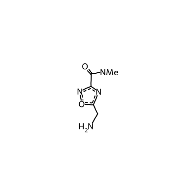 CNC(=O)c1noc(CN)n1